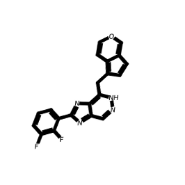 Fc1cccc(-c2nc3cn[nH]c(Cc4ccc5coccc4-5)c-3n2)c1F